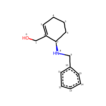 OCC1=CCCC[C@H]1NCc1ccccc1